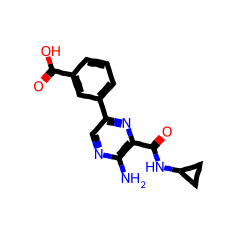 Nc1ncc(-c2cccc(C(=O)O)c2)nc1C(=O)NC1CC1